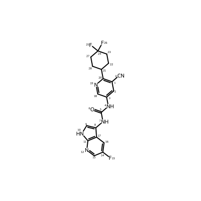 N#Cc1cc(NC(=O)Nc2c[nH]c3ncc(F)cc23)cnc1C1CCC(F)(F)CC1